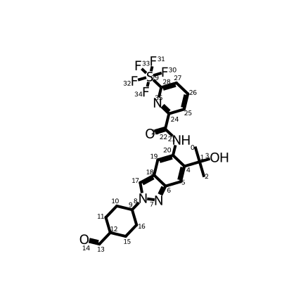 CC(C)(O)c1cc2nn(C3CCC(C=O)CC3)cc2cc1NC(=O)c1cccc(S(F)(F)(F)(F)F)n1